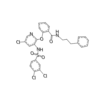 O=C(NCCCc1ccccc1)c1ccccc1Oc1ncc(Cl)cc1NS(=O)(=O)c1ccc(Cl)c(Cl)c1